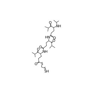 CC(C)NC(CCC(=O)NC(CCC(=O)NC(CCC(=O)SCSS)C(=O)C(C)C)C(=O)C(C)C)C(=O)C(C)C